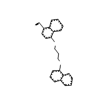 O=Cc1ccc(SCCCSc2cccc3ccccc23)c2ccccc12